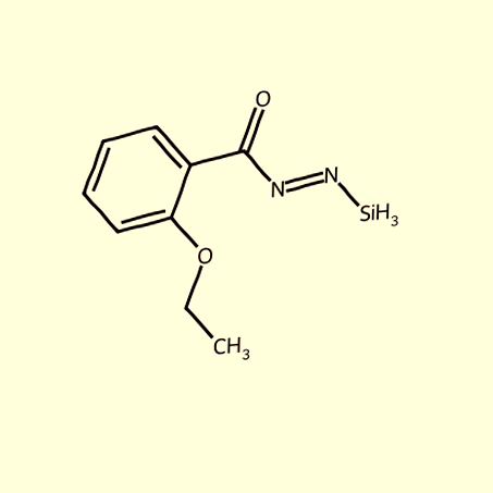 CCOc1ccccc1C(=O)N=N[SiH3]